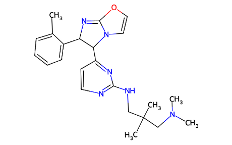 Cc1ccccc1C1N=C2OC=CN2C1c1ccnc(NCC(C)(C)CN(C)C)n1